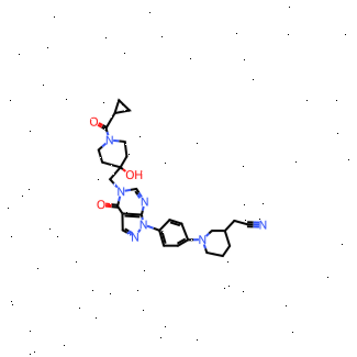 N#CCC1CCCN(c2ccc(-n3ncc4c(=O)n(CC5(O)CCN(C(=O)C6CC6)CC5)cnc43)cc2)C1